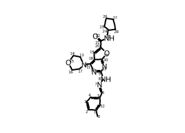 Cc1cccc(/C=N/Nc2nc(N3CCOCC3)c3cc(C(=O)NC4CCCC4)oc3n2)c1